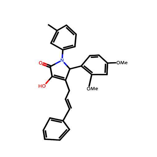 COc1ccc(C2C(CC=Cc3ccccc3)=C(O)C(=O)N2c2cccc(C)c2)c(OC)c1